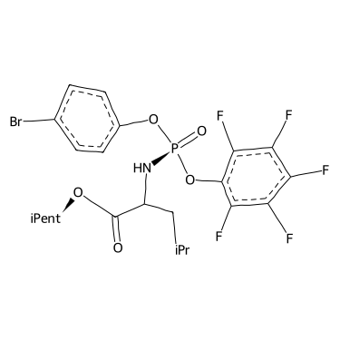 CCC[C@H](C)OC(=O)C(CC(C)C)N[P@](=O)(Oc1ccc(Br)cc1)Oc1c(F)c(F)c(F)c(F)c1F